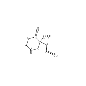 C=CCC1(C(=O)O)CNCCC1=O